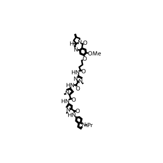 C=C1C[C@H]2C=Nc3cc(OCCCC(=O)Nc4cn(C)c(C(=O)Nc5cc(C(=O)Nc6cc(C(=O)Nc7ccc8c(ccn8C(C)C)c7)n(C)c6)n(C)c5)n4)c(OC)cc3C(=O)N2C1